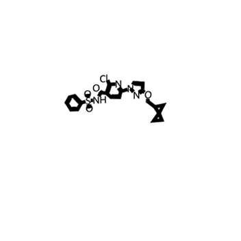 O=C(NS(=O)(=O)c1ccccc1)c1ccc(-n2ccc(OCC3CC34CC4)n2)nc1Cl